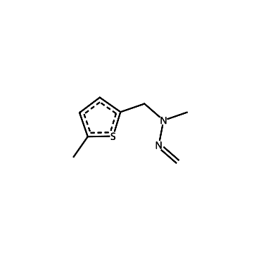 C=NN(C)Cc1ccc(C)s1